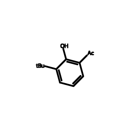 CC(=O)c1cccc(C(C)(C)C)c1O